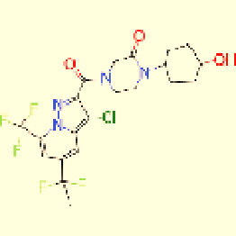 CC(F)(F)c1cc(C(F)(F)F)n2nc(C(=O)N3CCN(C4CCC(O)CC4)C(=O)C3)c(Cl)c2c1